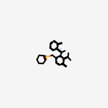 C=c1ccc(CP2C3=C2CCCC3)c(/C(C)=c2\ccccc2=C)c1=C(C)C